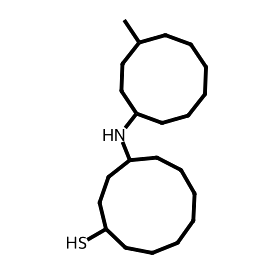 CC1CCCCCCC(NC2CCCCCCCC(S)CC2)CC1